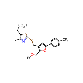 CCOCc1oc(-c2ccc(C(F)(F)F)cc2)cc1CSc1nc(C)c(CC(=O)O)s1